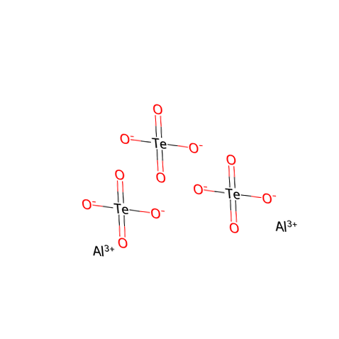 O=[Te](=O)([O-])[O-].O=[Te](=O)([O-])[O-].O=[Te](=O)([O-])[O-].[Al+3].[Al+3]